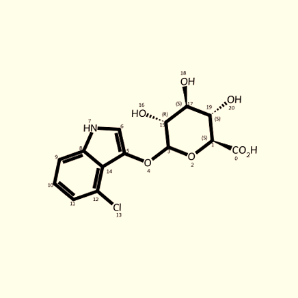 O=C(O)[C@H]1OC(Oc2c[nH]c3cccc(Cl)c23)[C@H](O)[C@@H](O)[C@@H]1O